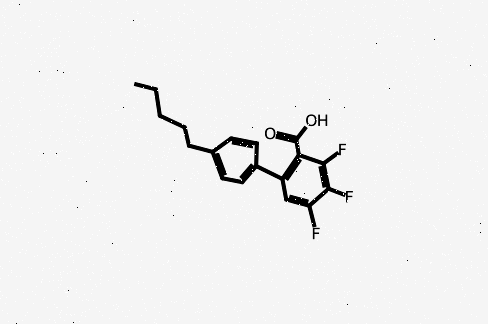 CCCCCc1ccc(-c2cc(F)c(F)c(F)c2C(=O)O)cc1